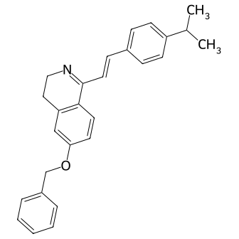 CC(C)c1ccc(C=CC2=NCCc3cc(OCc4ccccc4)ccc32)cc1